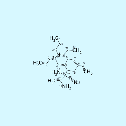 C=C/C=C(\C=C1/CC=C(C=C)CC1C(N)(C#N)C(C)N)N(CC=C)CCC